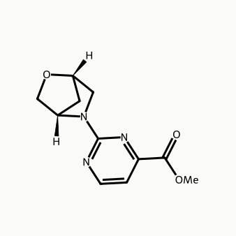 COC(=O)c1ccnc(N2C[C@@H]3C[C@H]2CO3)n1